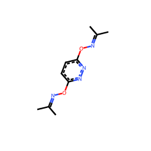 CC(C)=NOc1ccc(ON=C(C)C)nn1